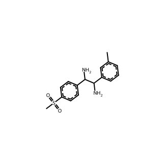 Cc1cccc(C(N)C(N)c2ccc(S(C)(=O)=O)cc2)c1